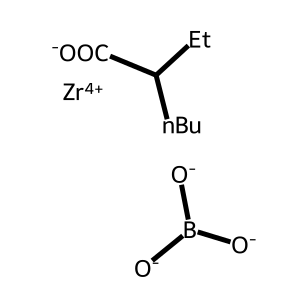 CCCCC(CC)C(=O)[O-].[O-]B([O-])[O-].[Zr+4]